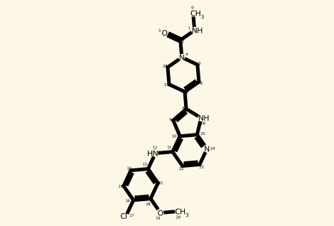 CNC(=O)N1CC=C(c2cc3c(Nc4ccc(Cl)c(OC)c4)ccnc3[nH]2)CC1